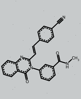 CNC(=O)c1cccc(-n2c(/C=C/c3ccc(C#N)cc3)nc3ccccc3c2=O)c1